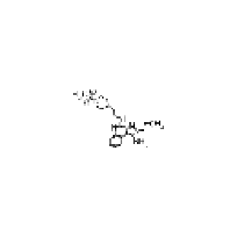 CCCn1nc2c(NCCC3CCN(S(C)(=O)=O)CC3)nc3ccccc3c2c1N